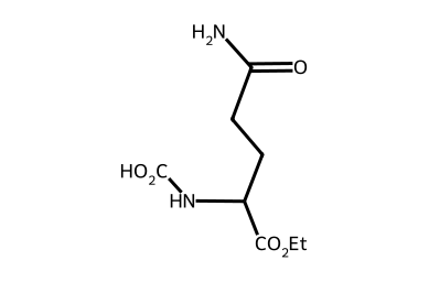 CCOC(=O)C(CCC(N)=O)NC(=O)O